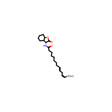 CCCCC/C=C\C/C=C/CCCCCCCC(=O)N[C@H]1C(=O)OC2CCCCC21